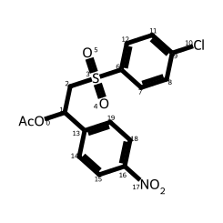 CC(=O)OC(CS(=O)(=O)c1ccc(Cl)cc1)c1ccc([N+](=O)[O-])cc1